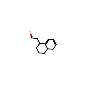 O=CCC1CCCC2CC=CC=C12